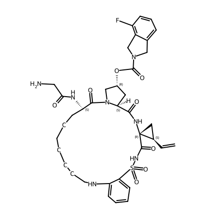 C=C[C@@H]1C[C@@]12NC(=O)[C@@H]1C[C@@H](OC(=O)N3Cc4cccc(F)c4C3)CN1C(=O)[C@@H](NC(=O)CN)CCCCCCCNc1ccccc1S(=O)(=O)NC2=O